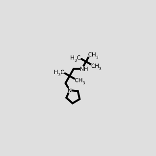 CC(C)(CNC(C)(C)C)CN1CCCC1